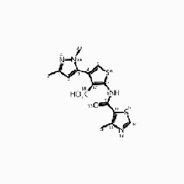 Cc1cc(-c2csc(NC(=O)c3scnc3C)c2C(=O)O)n(C)n1